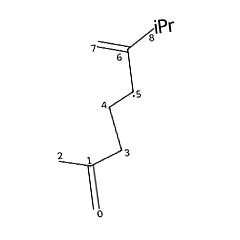 C=C(C)CC[CH]C(=C)C(C)C